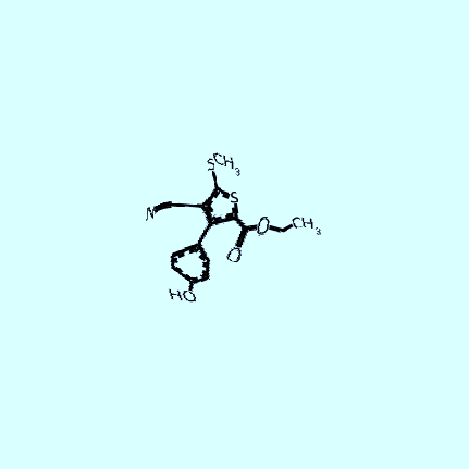 CCOC(=O)c1sc(SC)c(C#N)c1-c1ccc(O)cc1